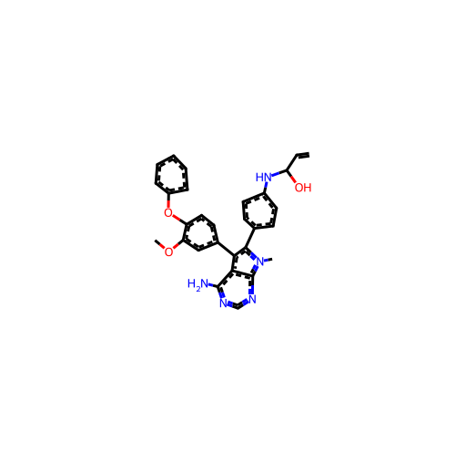 C=CC(O)Nc1ccc(-c2c(-c3ccc(Oc4ccccc4)c(OC)c3)c3c(N)ncnc3n2C)cc1